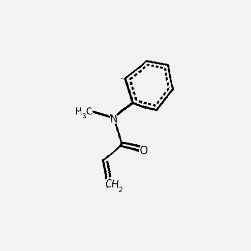 C=CC(=O)N(C)c1[c]cccc1